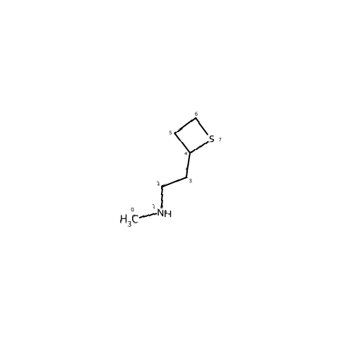 CNCCC1CCS1